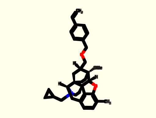 C=Cc1ccc(COC[C@H]2C[C@@]34CC[C@]2(OC)[C@@H]2Oc5c(C)ccc6c5[C@@]23CCN(CC2CC2)[C@@H]4C6)cc1